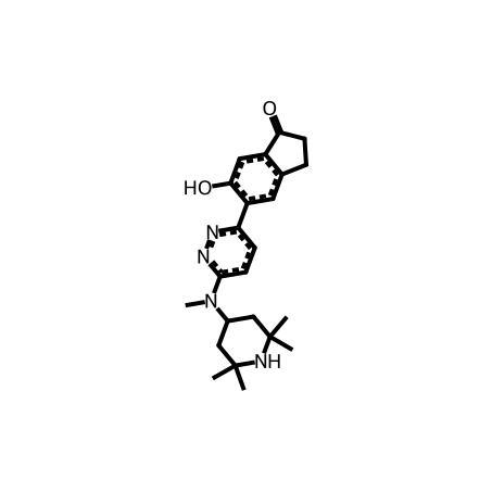 CN(c1ccc(-c2cc3c(cc2O)C(=O)CC3)nn1)C1CC(C)(C)NC(C)(C)C1